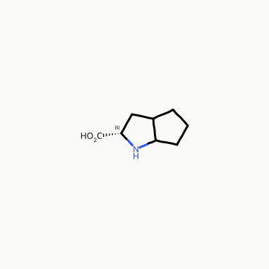 O=C(O)[C@@H]1CC2CCCC2N1